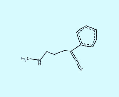 CNCCCC(=[N+]=[N-])c1ccccc1